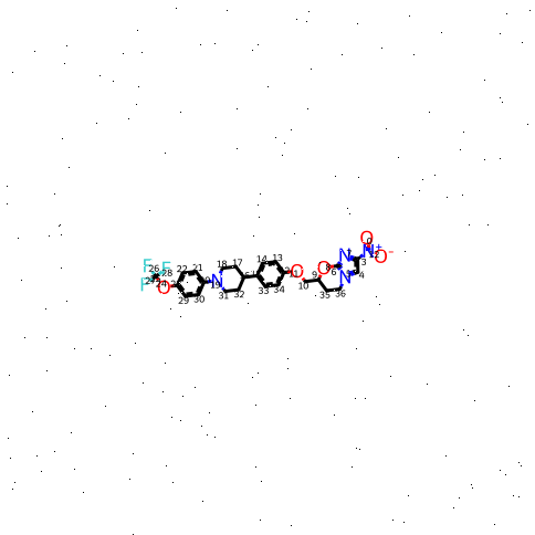 O=[N+]([O-])c1cn2c(n1)OC(COc1ccc(C3CCN(c4ccc(OC(F)(F)F)cc4)CC3)cc1)CC2